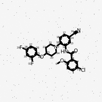 COc1ccc(Cl)cc1C(=O)Nc1cc(C#N)ccc1N1CCC(Oc2ccc(F)cc2F)CC1